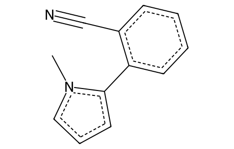 Cn1cccc1-c1ccccc1C#N